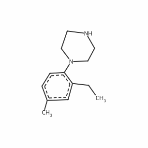 CCc1cc(C)ccc1N1CCNCC1